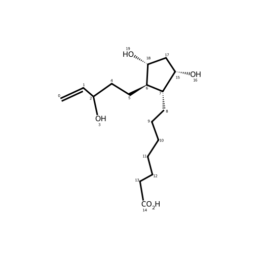 C=CC(O)CC[C@@H]1[C@@H](CCCCCCC(=O)O)[C@@H](O)C[C@H]1O